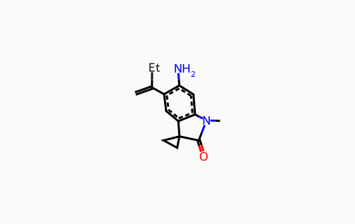 C=C(CC)c1cc2c(cc1N)N(C)C(=O)C21CC1